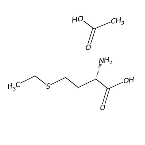 CC(=O)O.CCSCC[C@H](N)C(=O)O